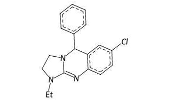 CCN1CCN2C1=Nc1ccc(Cl)cc1C2c1ccccc1